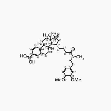 COc1ccc(CCN(C)C(=O)CCC[C@H]2CC(F)(F)[C@@]3(C)CC[C@@H]4c5ccc(B(O)O)cc5CC[C@H]4[C@H]23)cc1OC